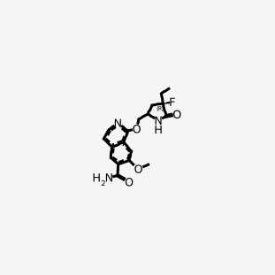 CC[C@@]1(F)CC(COc2nccc3cc(C(N)=O)c(OC)cc23)NC1=O